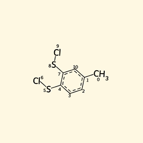 Cc1ccc(SCl)c(SCl)c1